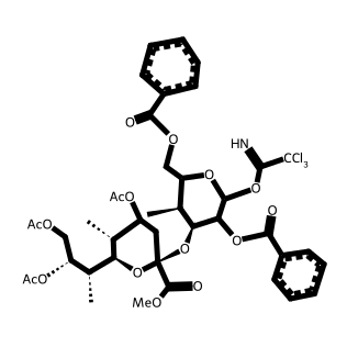 COC(=O)[C@@]1(O[C@@H]2C(OC(=O)c3ccccc3)C(OC(=N)C(Cl)(Cl)Cl)OC(COC(=O)c3ccccc3)[C@@H]2C)CC(OC(C)=O)[C@@H](C)[C@H]([C@H](C)[C@@H](COC(C)=O)OC(C)=O)O1